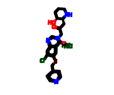 Cl.Cl.O=C(C[C@@H]1NCCC[C@H]1O)Cn1cnc2cc(Cl)c(SCc3ccncc3)cc2c1=O